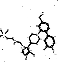 Cc1cc(-c2ccc(CCl)cc2N2CCC(c3c(C)ncn3COCC[Si](C)(C)C)CC2)ccc1F